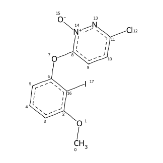 COc1cccc(Oc2ccc(Cl)n[n+]2[O-])c1I